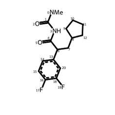 CNC(=O)NC(=O)C(CC1CCCC1)c1ccc(F)c(F)c1